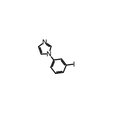 Ic1cccc(-n2ccnc2)c1